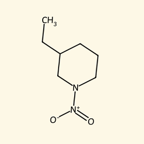 CCC1CCCN([N+](=O)[O-])C1